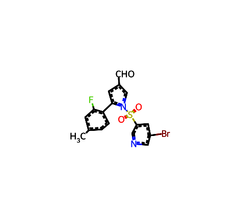 Cc1ccc(-c2cc(C=O)cn2S(=O)(=O)c2cncc(Br)c2)c(F)c1